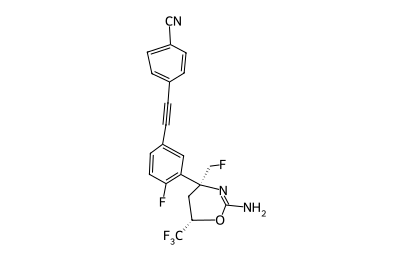 N#Cc1ccc(C#Cc2ccc(F)c([C@]3(CF)C[C@@H](C(F)(F)F)OC(N)=N3)c2)cc1